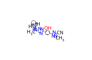 CN(c1cnc(-c2ccc(-c3nc(C#N)n(C)n3)cc2O)nn1)[C@@H]1C[C@H]2CCC[C@@H](C1)N2